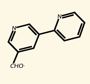 O=[C]c1cncc(-c2ccccn2)c1